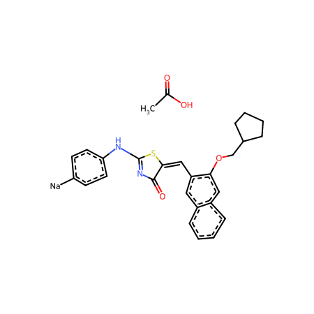 CC(=O)O.O=C1N=C(Nc2cc[c]([Na])cc2)S/C1=C/c1cc2ccccc2cc1OCC1CCCC1